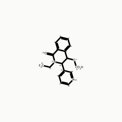 O=C(O)OC1c2ccccc2C(=O)N(CC(F)(F)F)C1c1cccnc1